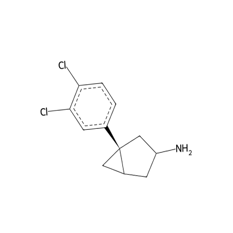 NC1CC2C[C@]2(c2ccc(Cl)c(Cl)c2)C1